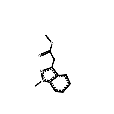 COC(=O)Cc1nn(C)c2ccccc12